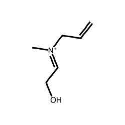 C=CC[N+](C)=CCO